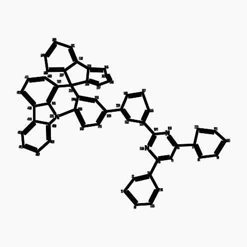 c1ccc(-c2cc(-c3ccccc3)nc(-c3cccc(-c4ccc5c(c4)C4(c6ccccc6-c6ccccc64)c4cccc6c7ccccc7n-5c46)c3)n2)cc1